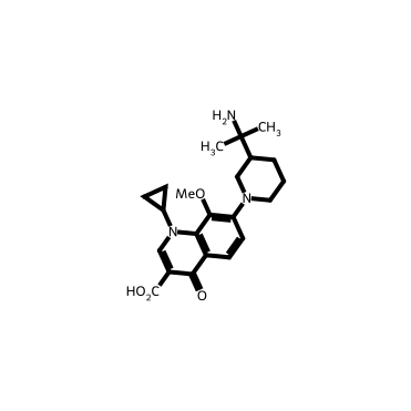 COc1c(N2CCCC(C(C)(C)N)C2)ccc2c(=O)c(C(=O)O)cn(C3CC3)c12